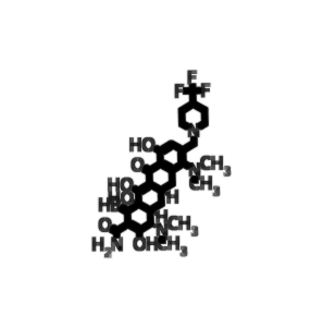 B=C1C(C(N)=O)=C(O)[C@@H](N(C)C)[C@@H]2C[C@@H]3Cc4c(c(O)cc(CN5CCC(C(F)(F)F)CC5)c4N(C)C)C(=O)C3=C(O)[C@]12O